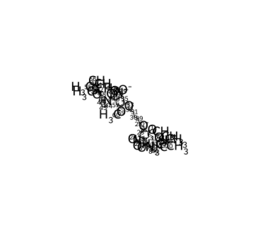 COc1cc(C(=O)N2CCC[C@H]2CO[Si](C)(C)C(C)(C)C)c([N+](=O)[O-])cc1OCCCCCOc1cc([N+](=O)[O-])c(C(=O)N2CCC[C@H]2CO[Si](C)(C)C(C)(C)C)cc1OC